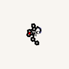 C=C1/C=C\C=C/CN(c2nc(-c3cccc(-c4ccccc4)c3)c(-c3ccccc3C)[nH]2)c2c1c1ccccc1c1c2sc2ccccc21